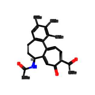 CNC(=O)N[C@H]1CCc2cc(OC)c(OC)c(OC)c2-c2ccc(C(=O)OC)c(=O)cc21